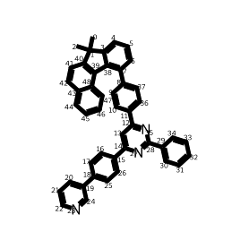 CC1(C)c2cccc(-c3ccc(-c4cc(-c5ccc(-c6cccnc6)cc5)nc(-c5ccccc5)n4)cc3)c2-c2c1ccc1ccccc21